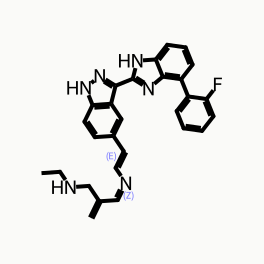 C=C(/C=N\C=C\c1ccc2[nH]nc(-c3nc4c(-c5ccccc5F)cccc4[nH]3)c2c1)CNCC